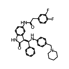 O=C(Cc1ccc(F)c(F)c1)Nc1ccc2c(c1)C(=C(Nc1ccc(CN3CCCCC3)cc1)c1ccccc1)C(=O)N2